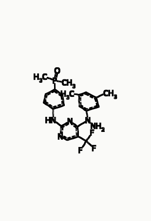 Cc1cc(C)cc(N(N)c2nc(Nc3ccc(P(C)(C)=O)cc3)ncc2C(F)(F)F)c1